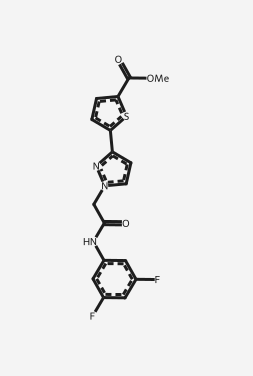 COC(=O)c1ccc(-c2ccn(CC(=O)Nc3cc(F)cc(F)c3)n2)s1